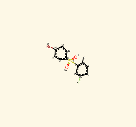 Cc1ccc(F)cc1S(=O)(=O)c1ccc(Br)cc1